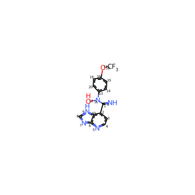 N=C(c1ccnc2nc[nH]c12)N(O)c1ccc(OC(F)(F)F)cc1